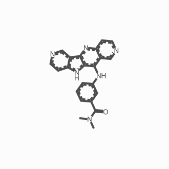 CN(C)C(=O)c1cccc(Nc2c3cnccc3nc3c2[nH]c2ccncc23)c1